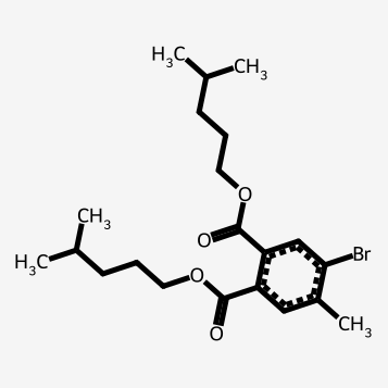 Cc1cc(C(=O)OCCCC(C)C)c(C(=O)OCCCC(C)C)cc1Br